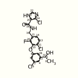 C[C@H](O)c1cc(Cl)cc(Oc2c(Cl)ccc(CNC(=O)c3[nH]cnc3Cl)c2F)c1